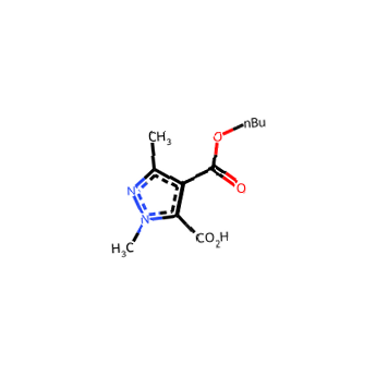 CCCCOC(=O)c1c(C)nn(C)c1C(=O)O